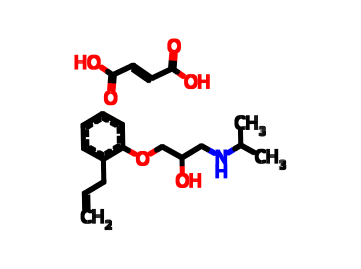 C=CCc1ccccc1OCC(O)CNC(C)C.O=C(O)/C=C/C(=O)O